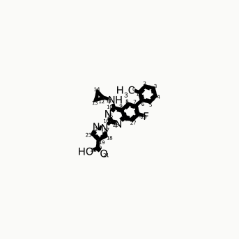 Cc1ccccc1-c1cc2c(NC3CC3)nc(-n3cc(C(=O)O)cn3)nc2cc1F